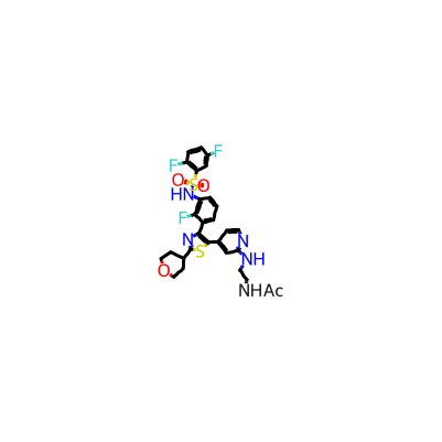 CC(=O)NCCNc1cc(-c2sc(C3CCOCC3)nc2-c2cccc(NS(=O)(=O)c3cc(F)ccc3F)c2F)ccn1